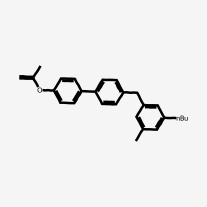 C=C(C)Oc1ccc(-c2ccc(Cc3cc(C)cc(CCCC)c3)cc2)cc1